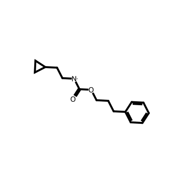 O=C([N]CCC1CC1)OCCCc1ccccc1